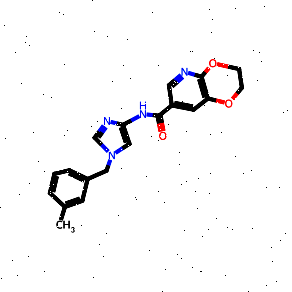 Cc1cccc(Cn2cnc(NC(=O)c3cnc4c(c3)OCCO4)c2)c1